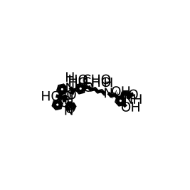 O=C(Nc1cccc(C(O)(C(=O)O[C@@H]2CN3CCC2CC3)c2ccccc2)c1)c1ccc(OCCCCCNC[C@H](O)c2ccc(O)c3[nH]c(=O)ccc23)cc1.O=CO.O=CO